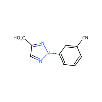 N#Cc1cccc(-n2ncc(C(=O)O)n2)c1